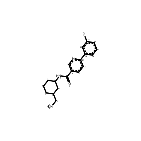 NCC1CCCC(NC(=O)c2ccc(-c3cccc(F)c3)nc2)C1